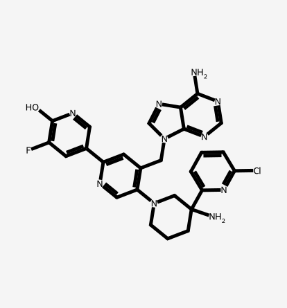 Nc1ncnc2c1ncn2Cc1cc(-c2cnc(O)c(F)c2)ncc1N1CCCC(N)(c2cccc(Cl)n2)C1